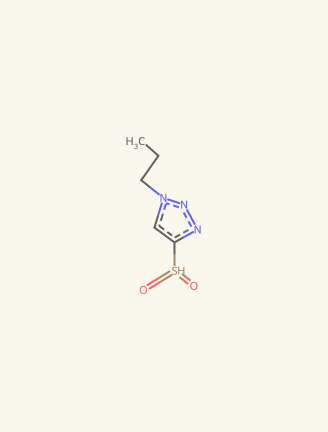 CCCn1cc([SH](=O)=O)nn1